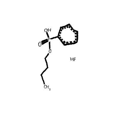 CCCCOP(=O)(O)c1ccccc1.F